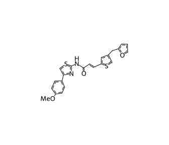 COc1ccc(-c2csc(NC(=O)C=Cc3cc(Cc4ccco4)cs3)n2)cc1